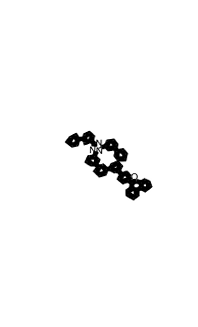 c1ccc(-c2cccc(-c3nc(-c4cccc(-c5ccccc5)c4)nc(-c4cccc(-c5cccc(-c6cccc(-c7ccc8c(c7)oc7c9ccccc9c9ccccc9c87)c6)c5)c4)n3)c2)cc1